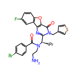 CC(C)[C@H](c1nc2c(oc3ccc(F)cc32)c(=O)n1Cc1ccsc1)N(CCN)C(=O)c1ccc(Br)cc1